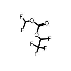 O=C(OC(F)F)OC(F)C(F)(F)F